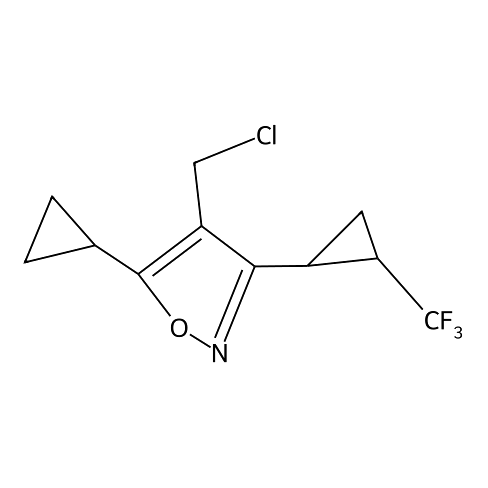 FC(F)(F)C1CC1c1noc(C2CC2)c1CCl